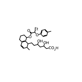 CCC(Oc1ccc(C)cc1)C(=O)OC1CCCC2=C1C(CCC(O)CC(O)CC(=O)O)C(C)C=C2